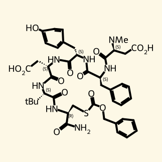 CN[C@@H](CC(=O)O)C(=O)N[C@@H](Cc1ccccc1)C(=O)N[C@@H](Cc1ccc(O)cc1)C(=O)N[C@@H](CC(=O)O)C(=O)N[C@H](C(=O)N[C@@H](CSC(=O)OCc1ccccc1)C(N)=O)C(C)(C)C